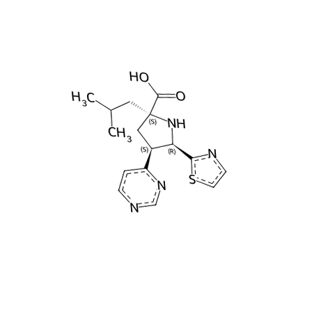 CC(C)C[C@@]1(C(=O)O)C[C@H](c2ccncn2)[C@H](c2nccs2)N1